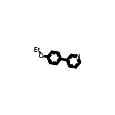 CCOc1ccc(-c2cccnc2)cc1